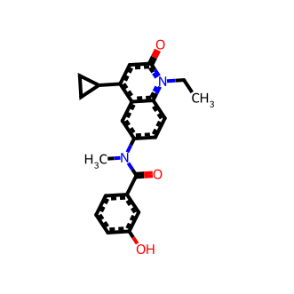 CCn1c(=O)cc(C2CC2)c2cc(N(C)C(=O)c3cccc(O)c3)ccc21